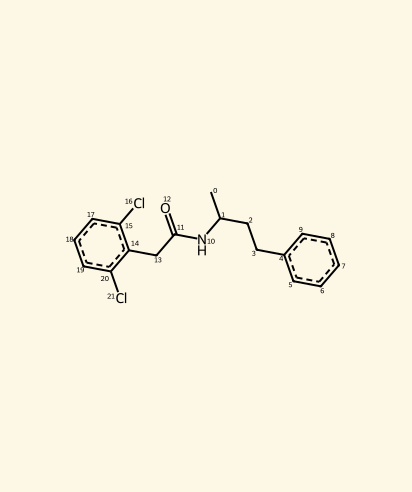 CC(CCc1ccccc1)NC(=O)Cc1c(Cl)cccc1Cl